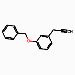 C#C[CH]c1cccc(OCc2ccccc2)c1